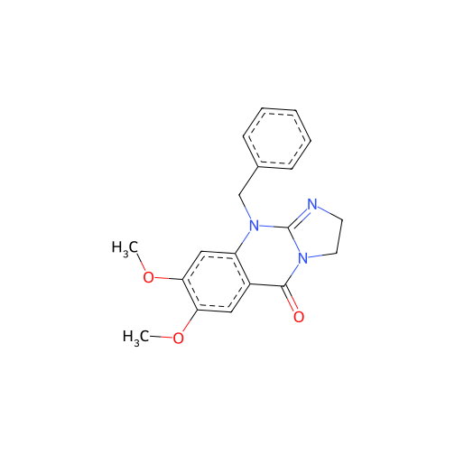 COc1cc2c(cc1OC)N(Cc1ccccc1)C1=NCCN1C2=O